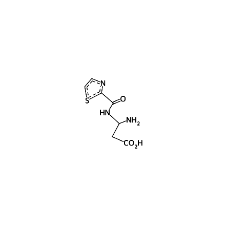 NC(CC(=O)O)NC(=O)c1nccs1